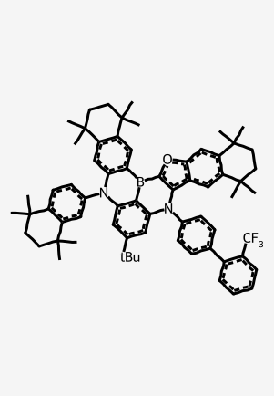 CC(C)(C)c1cc2c3c(c1)N(c1ccc(-c4ccccc4C(F)(F)F)cc1)c1c(oc4cc5c(cc14)C(C)(C)CCC5(C)C)B3c1cc3c(cc1N2c1ccc2c(c1)C(C)(C)CCC2(C)C)C(C)(C)CCC3(C)C